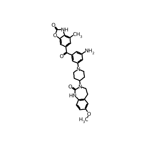 COc1ccc2c(c1)CCN(C1CCN(c3cc(N)cc(C(=O)c4cc(C)c5[nH]c(=O)oc5c4)c3)CC1)C(=O)N2